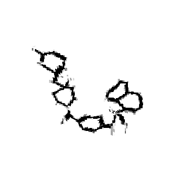 O=C(c1ccc(NS(=O)(=O)c2cccc3cccnc23)cc1)N1CCC(O)(Cc2cccc(F)n2)CC1